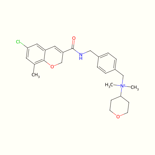 Cc1cc(Cl)cc2c1OCC(C(=O)NCc1ccc(C[N+](C)(C)C3CCOCC3)cc1)=C2